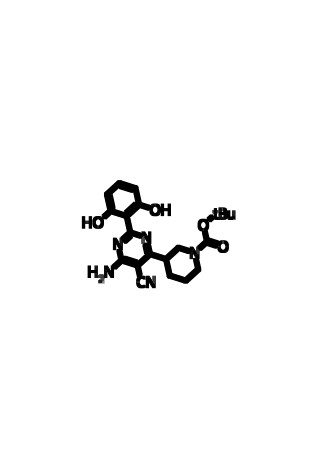 CC(C)(C)OC(=O)N1CCCC(c2nc(-c3c(O)cccc3O)nc(N)c2C#N)C1